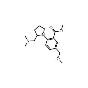 COCc1ccc(N2CCCC2CN(C)C)c(C(=O)OC)c1